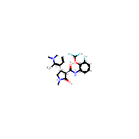 C=C/C(=C(\N(C)C)C(F)(F)F)[C@H]1CN(C)C(=O)[C@@H]1C(=O)Nc1cccc(F)c1OC(F)F